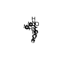 CC(Nc1ccn(C2CCN(C3COC3)CC2)n1)=C1C(=O)Nc2cnc(-c3cnccc3C)cc21